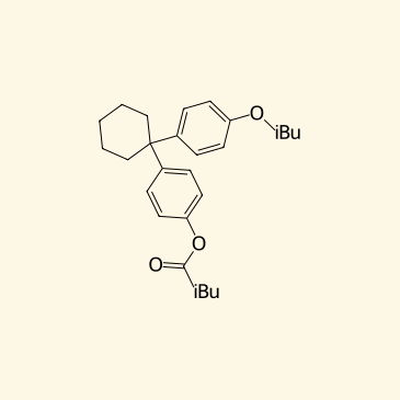 CCC(C)Oc1ccc(C2(c3ccc(OC(=O)C(C)CC)cc3)CCCCC2)cc1